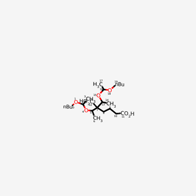 CCCCOC(C)OC(C)C(CCCC(=O)O)(C(=O)O)C(C)OC(C)OCCCC